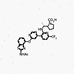 CC(=O)Nc1nc2c(Oc3cc(-c4ccc(C(F)(F)F)nc4N[C@H](C)C4CCCN4C(=O)O)ncn3)cccc2s1